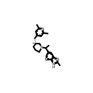 Cc1cc(C[C@H]2CCCN(C(C)c3cnc4[nH]c(C)nc4c3)C2)cc(C)n1